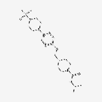 CC(C)OC(=O)N1CCC(COc2cnc(N3CCN(S(C)(=O)=O)CC3)cn2)CC1